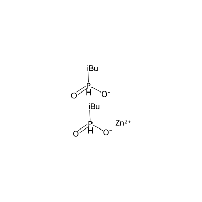 CCC(C)[PH](=O)[O-].CCC(C)[PH](=O)[O-].[Zn+2]